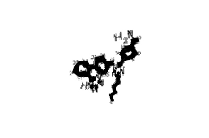 CCCCCc1nc(-c2ccc(C(C)N)cc2)n(Cc2ccc(-c3ccccc3-c3nnn[nH]3)cc2)n1